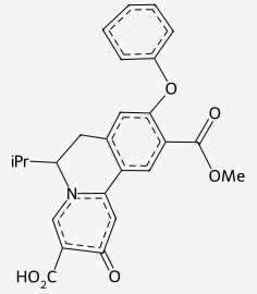 COC(=O)c1cc2c(cc1Oc1ccccc1)CC(C(C)C)n1cc(C(=O)O)c(=O)cc1-2